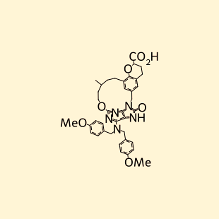 COc1ccc(CN(Cc2ccc(OC)cc2)c2nc3nc4c2[nH]c(=O)n4Cc2cc(c4c(c2)CCC(C(=O)O)O4)CCC(C)CCO3)cc1